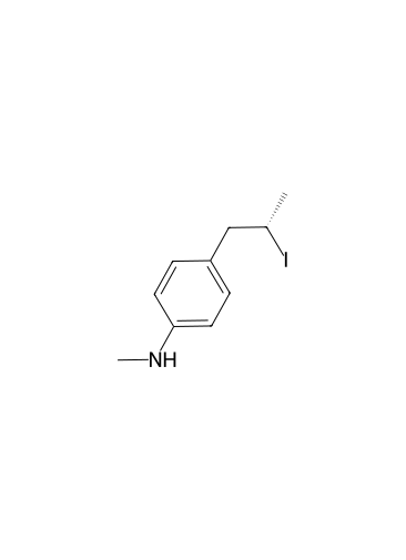 CNc1ccc(C[C@H](C)I)cc1